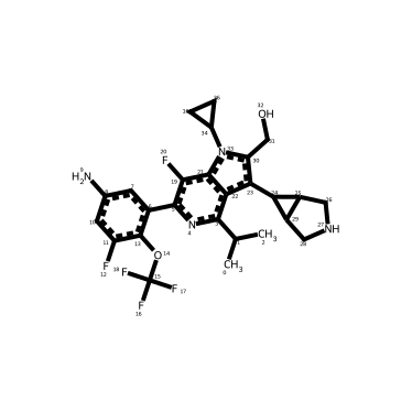 CC(C)c1nc(-c2cc(N)cc(F)c2OC(F)(F)F)c(F)c2c1c(C1C3CNCC31)c(CO)n2C1CC1